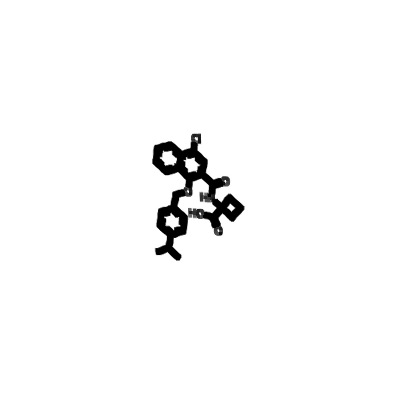 CC(C)c1ccc(COc2c(C(=O)NC3(C(=O)O)CCC3)cc(Cl)c3ccccc23)cc1